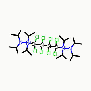 CC(C)N(C(C)C)[N+](C(C)C)(C(C)C)[Si](Cl)(Cl)[Si](Cl)(Cl)[Si](Cl)(Cl)[Si](Cl)(Cl)[N+](C(C)C)(C(C)C)N(C(C)C)C(C)C